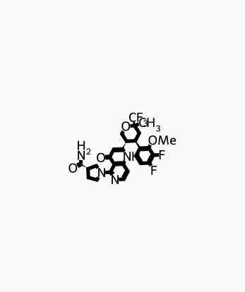 COc1c([C@@H]2C[C@](C)(C(F)(F)F)OC[C@H]2c2cc(=O)c3c(N4CC[C@H](C(N)=O)C4)nccc3[nH]2)ccc(F)c1F